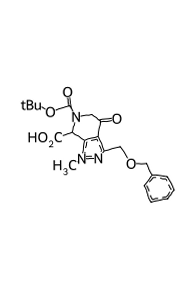 Cn1nc(COCc2ccccc2)c2c1C(C(=O)O)N(C(=O)OC(C)(C)C)CC2=O